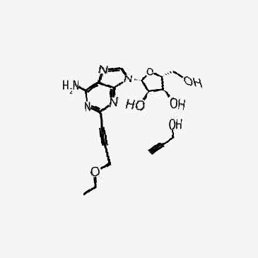 C#CCO.CCOCC#Cc1nc(N)c2ncn([C@@H]3O[C@H](CO)[C@@H](O)[C@H]3O)c2n1